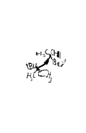 CC(C)(C)C(C)(C)C#CC(C)(C)C(C)(C)C